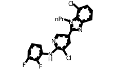 CCCn1c(-c2cnc(Nc3cccc(F)c3F)c(Cl)c2)nc2cccc(Cl)c21